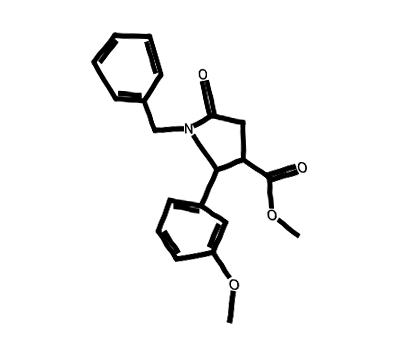 COC(=O)C1CC(=O)N(Cc2ccccc2)C1c1cccc(OC)c1